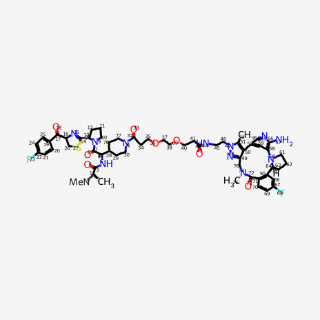 CN[C@H](C)C(=O)N[C@@H](C(=O)N1CCC[C@@H]1C1=NC(C(=O)c2ccc(F)cc2)CS1)C1CCN(C(=O)CCOCCOCCC(=O)NCCn2nc3c(c2C)-c2cnc(N)c(c2)N2CCC[C@@H]2c2cc(F)ccc2C(=O)N(C)C3)CC1